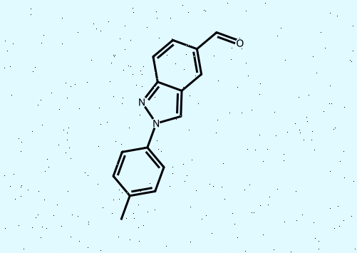 Cc1ccc(-n2cc3cc(C=O)ccc3n2)cc1